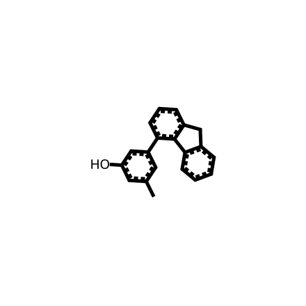 Cc1cc(O)cc(-c2cccc3c2-c2ccccc2C3)c1